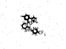 Cc1ccc(-c2ccn(C)n2)c(C(=O)N2CCC[C@@H](C)C2CNc2ccc(C(F)(F)F)cn2)c1